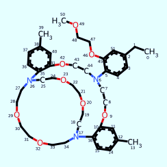 CCc1ccc(N2CCOc3cc(C)ccc3N3CCOCCOCCN(CCOCCOCC3)c3ccc(C)cc3OCC2)c(OCCOC)c1